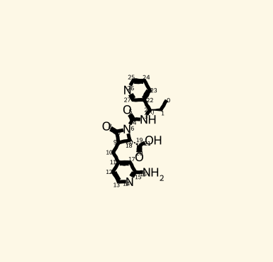 CC[C@@H](NC(=O)N1C(=O)C(Cc2ccnc(N)c2)[C@H]1C(=O)O)c1cccnc1